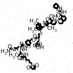 Cc1c(-c2ccc(N3CCc4cccc(C(=O)Nc5nc6ccccc6s5)c4C3)nc2C(=O)O)cnn1CC12CC3(C)CC(C)(C1)CC(SCCN(CCS(=O)(=O)O)C(=O)OCc1ccc(NC(=O)[C@H](CCCNC(N)=O)NCC(NC(=O)CCCCCN4C(=O)C=CC4=O)C(C)C)cc1)(C3)C2